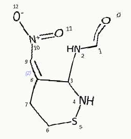 O=CNC1NSCC/C1=C/[N+](=O)[O-]